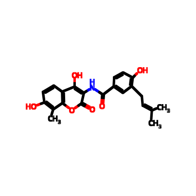 CC(C)=CCc1cc(C(=O)Nc2c(O)c3ccc(O)c(C)c3oc2=O)ccc1O